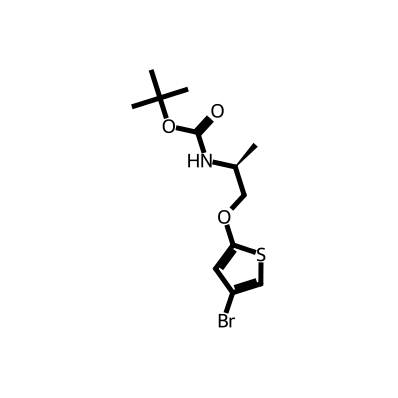 C[C@@H](COc1cc(Br)cs1)NC(=O)OC(C)(C)C